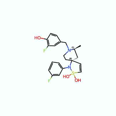 C[C@H]1C[C@@]2(C=CS(O)(O)N2c2cccc(F)c2)CCN1Cc1ccc(O)c(F)c1